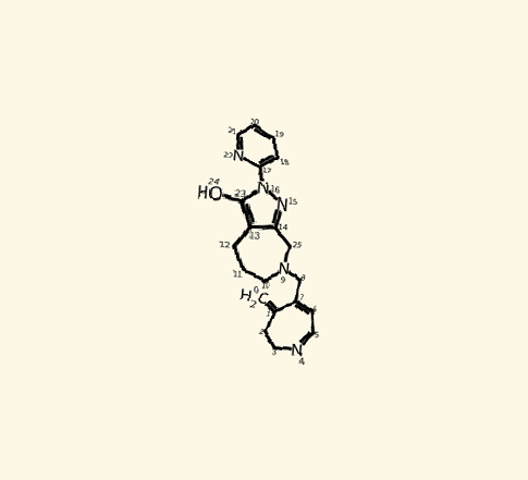 C=C1CCN=CC=C1CN1CCCc2c(nn(-c3ccccn3)c2O)C1